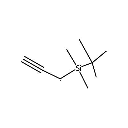 C#C[CH][Si](C)(C)C(C)(C)C